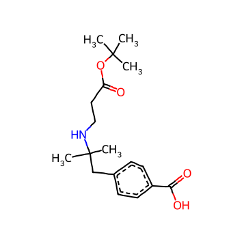 CC(C)(Cc1ccc(C(=O)O)cc1)NCCC(=O)OC(C)(C)C